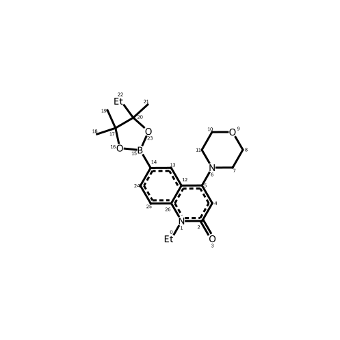 CCn1c(=O)cc(N2CCOCC2)c2cc(B3OC(C)(C)C(C)(CC)O3)ccc21